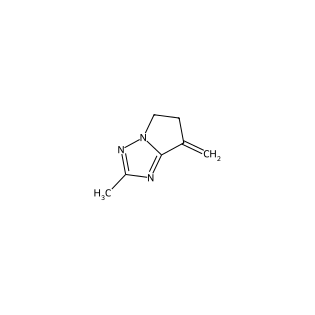 C=C1CCn2nc(C)nc21